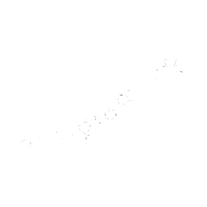 C=CC(=O)OCCCCCCOc1ccc(C(=O)Oc2ccc3c(c2)C(C)c2cc(OCCCCCCOC(=O)C(=C)CO)ccc2-3)cc1CC